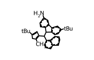 CC1=C(C(c2cccc3ccccc23)C2c3ccc(N)cc3-c3cc(C(C)(C)C)ccc32)C=C(C(C)(C)C)C1